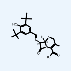 CC1=C(C(=O)O)N2C(=O)[C@@H](N=Cc3cc(C(C)(C)C)c(O)c(C(C)(C)C)c3)[C@@H]2SC1